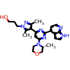 Cc1nn(CCCO)c(C)c1-c1cc(N2CCOC[C@H]2C)nc(-c2ccnc3[nH]ccc23)n1